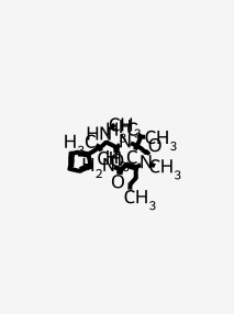 CCCC(=CC(N)=O)N(C)C(=O)C(C)(NC(=O)C(NC)C(C)(C)c1ccccc1)C(C)C